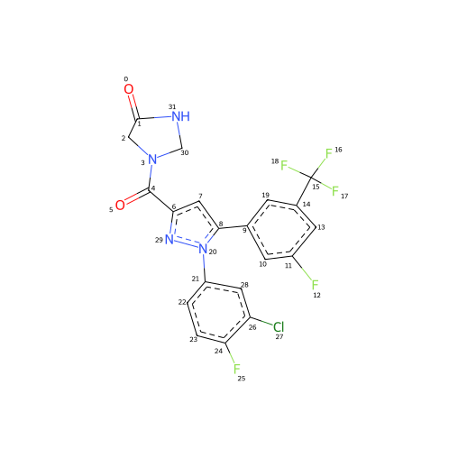 O=C1CN(C(=O)c2cc(-c3cc(F)cc(C(F)(F)F)c3)n(-c3ccc(F)c(Cl)c3)n2)CN1